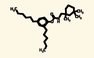 CCCCCCc1ccc(OC(=O)NCC2(C)C[CH]CC(C)(C)C2)c(CCCCCC)c1